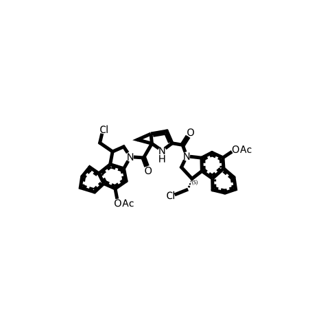 CC(=O)Oc1cc2c(c3ccccc13)C(CCl)CN2C(=O)C12CC1=C=C(C(=O)N1C[C@@H](CCl)c3c1cc(OC(C)=O)c1ccccc31)N2